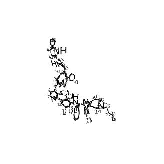 COc1nc(-c2ccnc(-c3cccc(NC(=O)c4nc5c(n4C)CN(CCCF)CC5)c3Cl)c2Cl)ccc1CNC[C@H]1CCC(=O)N1